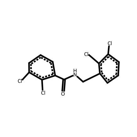 O=C(NCc1cccc(Cl)c1Cl)c1cccc(Cl)c1Cl